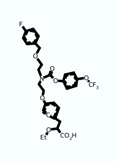 CCOC(Cc1ccc(OCCN(CCOCc2ccc(F)cc2)C(=O)Oc2ccc(OC(F)(F)F)cc2)cc1)C(=O)O